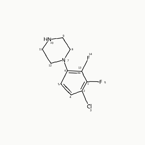 Fc1c(Cl)ccc(N2CCNCC2)c1F